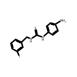 Nc1ccc(NC(=S)NCc2cccc(I)c2)cc1